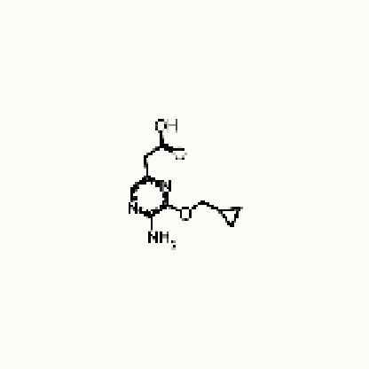 Nc1ncc(CC(=O)O)nc1OCC1CC1